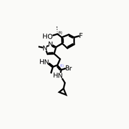 CC(=N)/C(Cc1cn(C)nc1-c1ccc(F)cc1[C@@H](C)O)=C(/Br)NCC1CC1